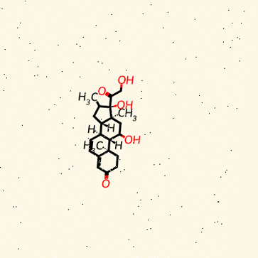 CC1C[C@H]2[C@@H]3C=CC4=CC(=O)CC[C@]4(C)[C@H]3C(O)C[C@]2(C)[C@@]1(O)C(=O)CO